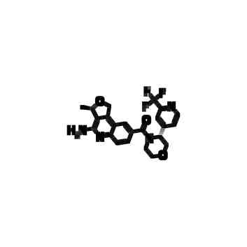 C[C@H]1OCc2c1c(N)nc1ccc(C(=O)N3CCOC[C@H]3c3ccnc(C(F)(F)F)c3)cc21